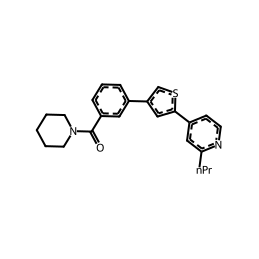 CCCc1cc(-c2cc(-c3cccc(C(=O)N4CCCCC4)c3)cs2)ccn1